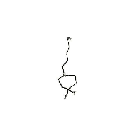 CC(C)CCCCN1CCC(F)(F)CC1